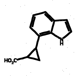 O=C(O)C1CC1c1cccc2cc[nH]c12